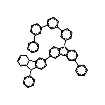 C1=CCC2C(=C1)N(c1ccccc1)c1ccc(-c3ccc4c(c3)c3cc(-c5ccccc5)ccc3n4-c3cccc(-c4cccc(-c5cccc(-c6ccccc6)c5)c4)c3)cc12